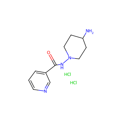 Cl.Cl.NC1CCN(NC(=O)c2cccnc2)CC1